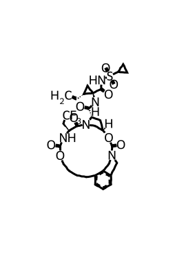 C=C[C@@H]1C[C@]1(NC(=O)[C@@H]1C[C@@H]2CN1C(=O)[C@H](CC(F)(F)F)NC(=O)OCCCCc1cccc3c1CN(C3)C(=O)O2)C(=O)NS(=O)(=O)C1CC1